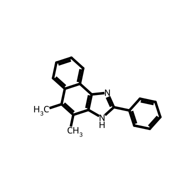 Cc1c(C)c2[nH]c(-c3ccccc3)nc2c2ccccc12